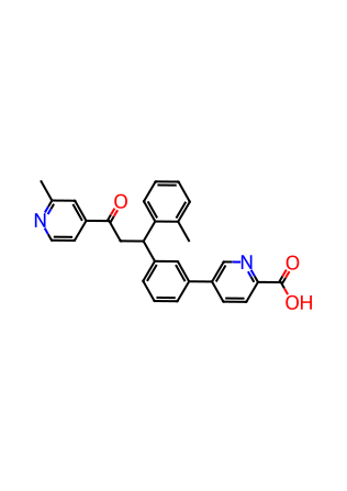 Cc1cc(C(=O)CC(c2cccc(-c3ccc(C(=O)O)nc3)c2)c2ccccc2C)ccn1